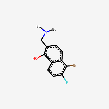 CCN(CC)Cc1ccc2c(Br)c(F)ccc2c1O